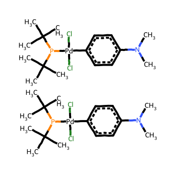 CN(C)c1cc[c]([Pd]([Cl])([Cl])[P](C(C)(C)C)C(C)(C)C)cc1.CN(C)c1cc[c]([Pd]([Cl])([Cl])[P](C(C)(C)C)C(C)(C)C)cc1